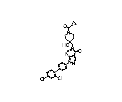 O=C(C1CC1)N1CCC(O)(Cn2cnc3c(cnn3-c3ccc(-c4ccc(Cl)cc4Cl)cc3)c2=O)CC1